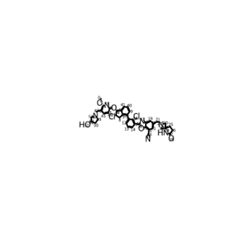 COc1nc(O[C@@H]2CCc3c(-c4cccc(-c5nc6cc(CN7CC8(CCC(=O)N8)C7)cc(C#N)c6o5)c4Cl)cccc32)c(Cl)cc1CN1CC[C@@H](O)C1